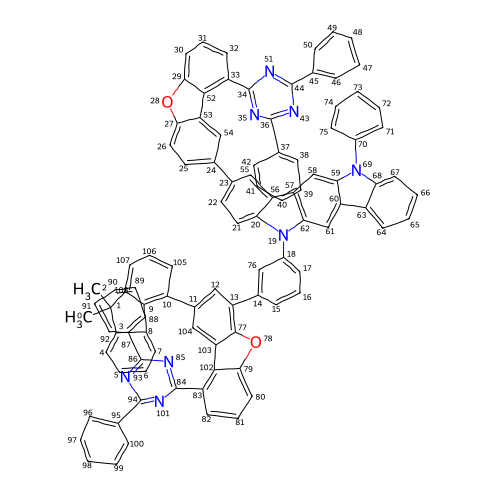 CC1(C)c2ccccc2-c2c(-c3cc(-c4cccc(-n5c6ccc(-c7ccc8oc9cccc(-c%10nc(-c%11ccccc%11)nc(-c%11ccccc%11)n%10)c9c8c7)cc6c6cc7c(cc65)c5ccccc5n7-c5ccccc5)c4)c4oc5cccc(-c6nc(-c7ccccc7)nc(-c7ccccc7)n6)c5c4c3)cccc21